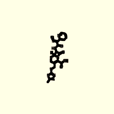 Cc1nnc(SCC2=C(C(=O)O)N3C(=O)C(NC(=O)C(=S=O)c4ccccn4)[C@H]3SC2)s1